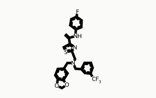 C=C(Nc1ccc(F)cc1)c1csc(CN(Cc2cccc(C(F)(F)F)c2)Cc2ccc3c(c2)OCO3)n1